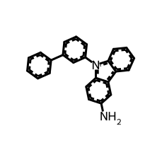 Nc1ccc2c(c1)c1ccccc1n2-c1cccc(-c2ccccc2)c1